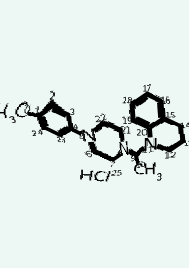 Cc1ccc(N2CCN(C(C)N3CCCc4ccccc43)CC2)cc1.Cl